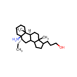 CC[C@H]1CC2C3CCC(CCCO)C3(C)CC[C@@H]2C2(C)CCCCC12N